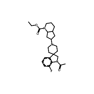 CCOC(=O)N1CCCC2CC(N3CCC4(CC3)CN(C(C)=O)c3c(F)cccc34)CC21